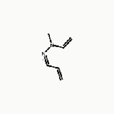 C=C/C=N\N(C)C=C